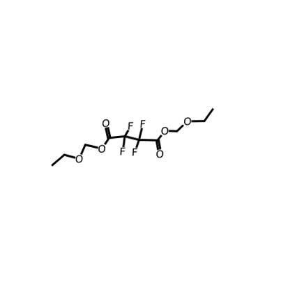 CCOCOC(=O)C(F)(F)C(F)(F)C(=O)OCOCC